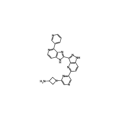 NC1CN(c2cncc(-c3ccc4[nH]nc(-c5nc6c(-c7cccnc7)nccc6[nH]5)c4n3)n2)C1